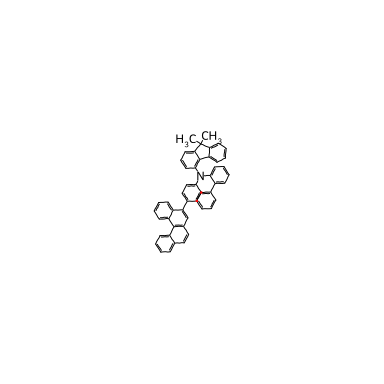 CC1(C)c2ccccc2-c2c(N(c3ccc(-c4cc5ccc6ccccc6c5c5ccccc45)cc3)c3ccccc3-c3ccccc3)cccc21